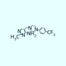 Cc1ncc(CN2CCN(c3ccc(C(F)(F)F)cc3)CC2)c(N)n1